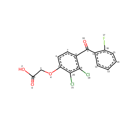 O=C(O)COc1ccc(C(=O)c2ccccc2F)c(Cl)c1Cl